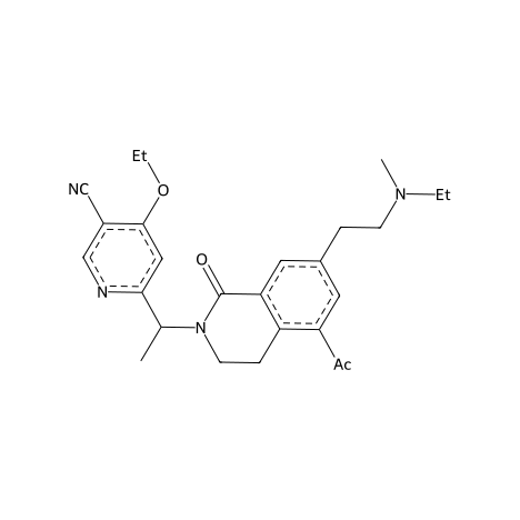 CCOc1cc(C(C)N2CCc3c(C(C)=O)cc(CCN(C)CC)cc3C2=O)ncc1C#N